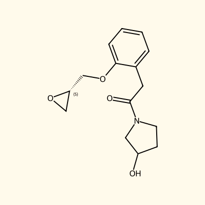 O=C(Cc1ccccc1OC[C@@H]1CO1)N1CCC(O)C1